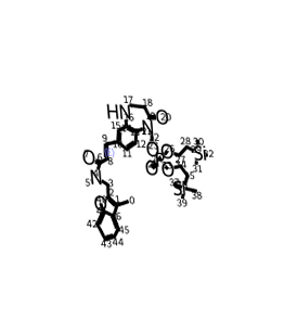 Cc1c(CN(C)C(=O)/C=C/c2ccc3c(c2)NCCC(=O)N3COP(=O)(OCC[Si](C)(C)C)OCC[Si](C)(C)C)oc2ccccc12